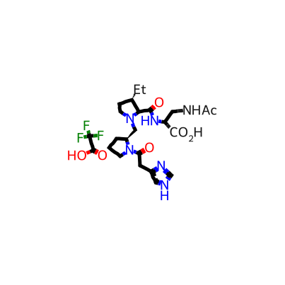 CC[C@H]1CCN(C[C@@H]2CCCN2C(=O)Cc2c[nH]cn2)C1C(=O)NC(CNC(C)=O)C(=O)O.O=C(O)C(F)(F)F